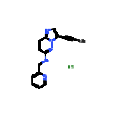 CCCCC#Cc1cnc2ccc(NCc3ccccn3)nn12.Cl